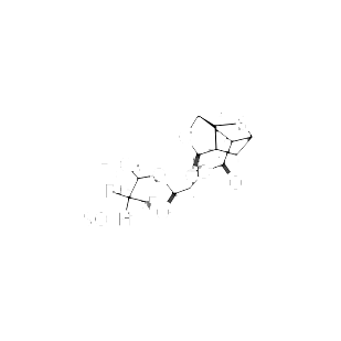 O=C(COC(=O)C1C2CC3C(=O)OC1C3S2)OC(C(F)(F)F)C(F)(F)S(=O)(=O)O